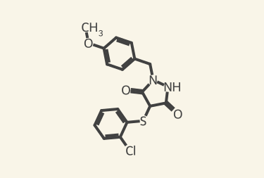 COc1ccc(CN2NC(=O)C(Sc3ccccc3Cl)C2=O)cc1